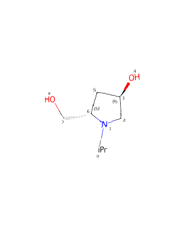 CC(C)N1C[C@H](O)C[C@H]1CO